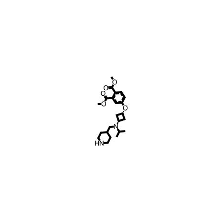 COC(=O)c1ccc(O[C@H]2C[C@H](N(CC3CCNCC3)C(C)C)C2)cc1C(=O)OC